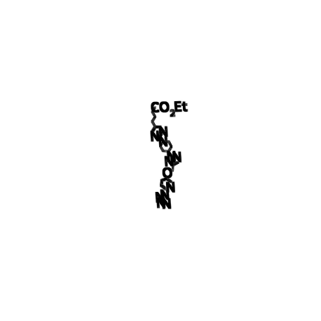 CCOC(=O)CCCc1cnc(N2CCC(n3ncc(COc4ccc(-n5cnnn5)nc4)n3)CC2)nc1